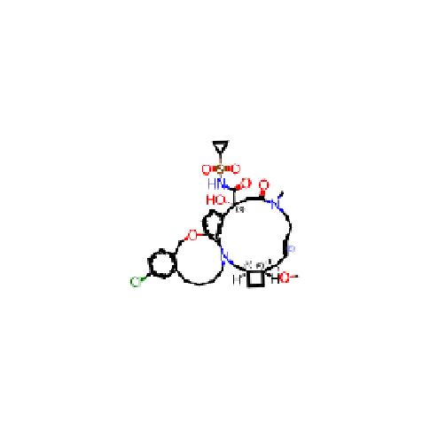 CO[C@H]1/C=C/CCN(C)C(=O)C[C@](O)(C(=O)NS(=O)(=O)C2CC2)c2ccc3c(c2)N(CCCCc2cc(Cl)ccc2CO3)C[C@@H]2CC[C@H]21